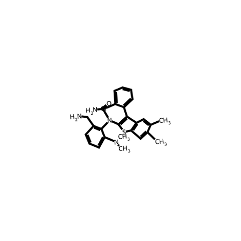 Cc1cc2sc(N(C(N)=O)c3c(CN)cccc3N(C)C)c(-c3ccccc3Cl)c2cc1C